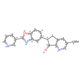 COc1cnc2c(c1)CC(c1ccc3oc(-c4cccnc4)nc3c1)C2=O